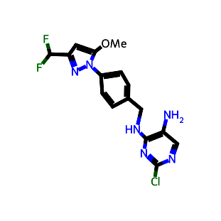 COc1cc(C(F)F)nn1-c1ccc(CNc2nc(Cl)ncc2N)cc1